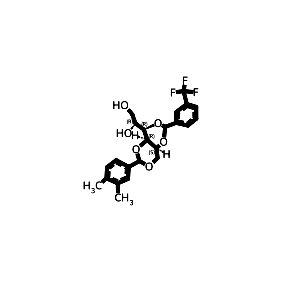 Cc1ccc(C2OC[C@@H]3OC(c4cccc(C(F)(F)F)c4)O[C@H]([C@H](O)CO)[C@@H]3O2)cc1C